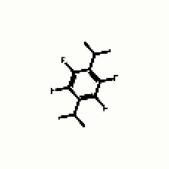 CC(C)c1c(F)c(F)c(C(C)C)c(F)c1F